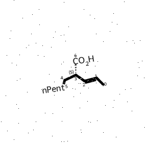 CC=C[C@H](CCCCCC)C(=O)O